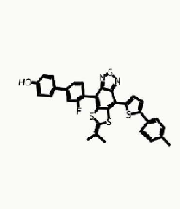 CC(C)=C1Sc2c(c(-c3ccc(-c4ccc(O)cc4)cc3F)c3nsnc3c2-c2ccc(-c3ccc(C)cc3)s2)S1